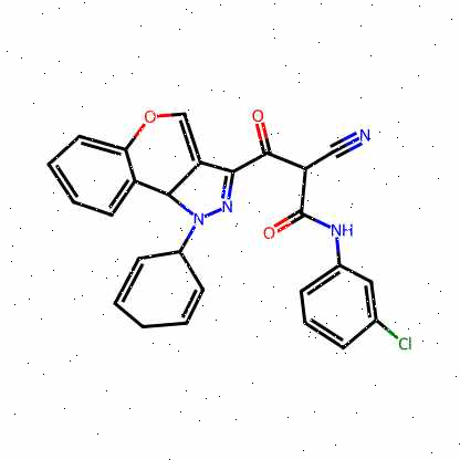 N#CC(C(=O)Nc1cccc(Cl)c1)C(=O)C1=NN(C2C=CCC=C2)C2C1=COc1ccccc12